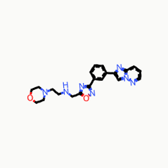 c1cc(-c2cn3ncccc3n2)cc(-c2noc(CNCCN3CCOCC3)n2)c1